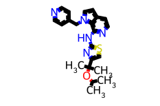 CC(C)OC(C)(C)c1csc(Nc2nccc3ccn(Cc4ccncc4)c23)n1